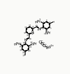 CCCc1cc(C)cc(CCC)c1N=Cc1cccc(C=Nc2c(CCC)cc(C)cc2CCC)n1.[Cl-].[Cl-].[Cl-].[Nd+3]